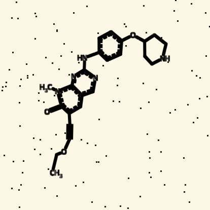 CCOC#Cc1cc2cnc(Nc3ccc(OC4CCNCC4)cc3)nc2n(C)c1=O